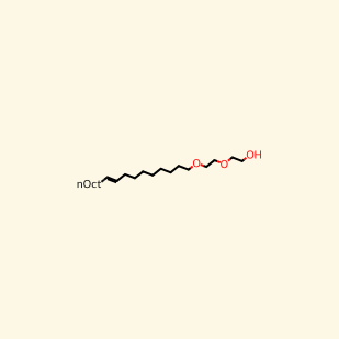 CCCCCCCC/C=C/CCCCCCCCOCCOCCO